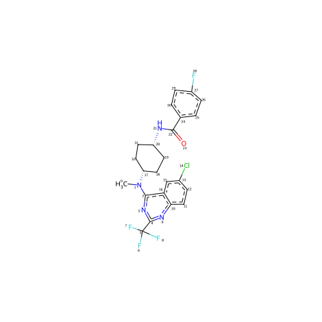 CN(c1nc(C(F)(F)F)nc2ccc(Cl)cc12)[C@H]1CC[C@@H](NC(=O)c2ccc(F)cc2)CC1